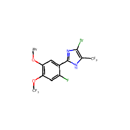 CC(C)Oc1cc(-c2nc(Br)c(C(F)(F)F)[nH]2)c(F)cc1OC(F)(F)F